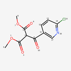 COC(=O)C(C(=O)OC)C(=O)c1ccc(Cl)nc1